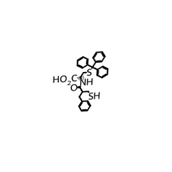 O=C(N[C@@H](CSC(c1ccccc1)(c1ccccc1)c1ccccc1)C(=O)O)C(CS)Cc1ccccc1